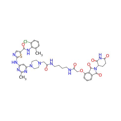 Cc1nc(Nc2ncc(C(=O)Nc3c(C)cccc3Cl)s2)cc(N2CCN(CC(=O)NCCCCNC(=O)COc3cccc4c3C(=O)N(C3CCC(=O)NC3=O)C4=O)CC2)n1